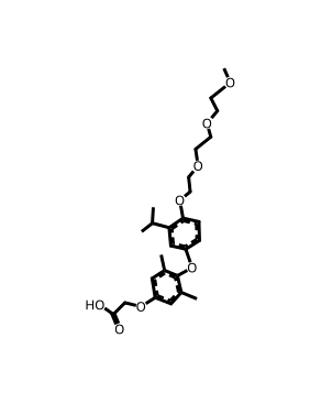 COCCOCCOCCOc1ccc(Oc2c(C)cc(OCC(=O)O)cc2C)cc1C(C)C